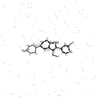 CCc1c(-c2ccnc(C)c2)[nH]c2ccc(C3CCN(C)CC3)cc12